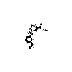 COC(=O)C1CN(S(=O)(=O)c2cccc(CBr)c2)CCO1